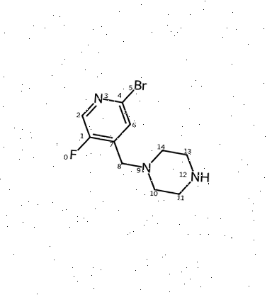 Fc1cnc(Br)cc1CN1CCNCC1